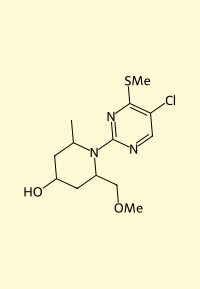 COCC1CC(O)CC(C)N1c1ncc(Cl)c(SC)n1